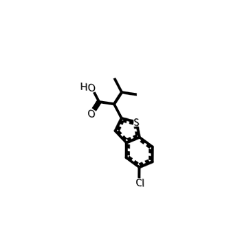 CC(C)C(C(=O)O)c1cc2cc(Cl)ccc2s1